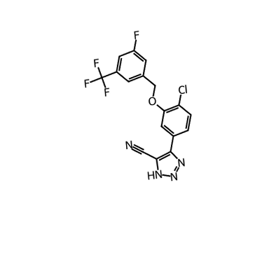 N#Cc1[nH]nnc1-c1ccc(Cl)c(OCc2cc(F)cc(C(F)(F)F)c2)c1